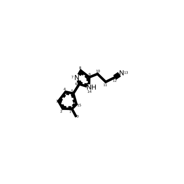 Cc1cccc(-c2ncc(CCC#N)[nH]2)c1